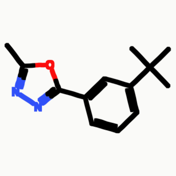 Cc1nnc(-c2cccc(C(C)(C)C)c2)o1